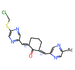 CC(=O)c1cnc(/C=C2\CCC/C(=C\c3cnc(SCCl)cn3)C2=O)cn1